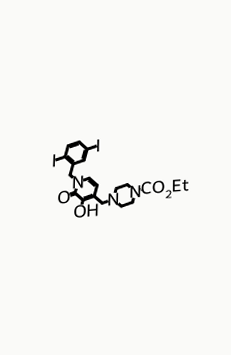 CCOC(=O)N1CCN(Cc2ccn(Cc3cc(I)ccc3I)c(=O)c2O)CC1